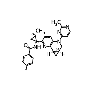 Cc1nccc(N2C[C@H]3C[C@H]3c3nc([C@@]4(NC(=O)c5ccc(F)cc5)C[C@@H]4C)ccc32)n1